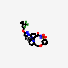 CC1(C)CCCC2CCOc3cccc(c3)S(=O)(=O)NC(=O)c3ccc(-n4ccc(OCCC5(C(F)(F)F)CC5)n4)nc3N21